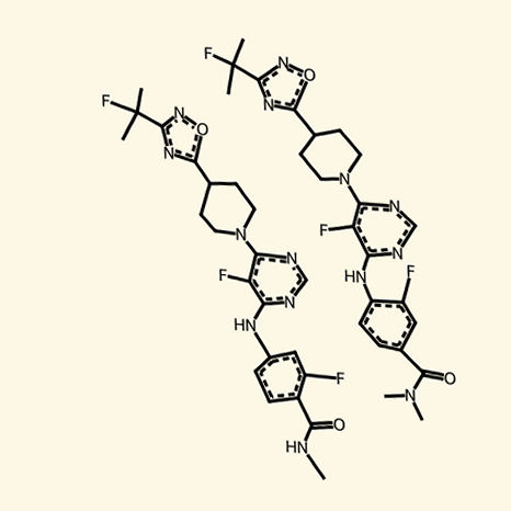 CN(C)C(=O)c1ccc(Nc2ncnc(N3CCC(c4nc(C(C)(C)F)no4)CC3)c2F)c(F)c1.CNC(=O)c1ccc(Nc2ncnc(N3CCC(c4nc(C(C)(C)F)no4)CC3)c2F)cc1F